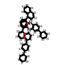 c1ccc(-c2ccc(-c3ccc(N(c4ccccc4-c4ccccc4)c4cc(-c5ccccc5)ccc4-n4c5ccccc5c5c6ccccc6ccc54)cc3)cc2)cc1